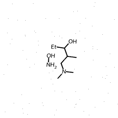 CCC(O)C(C)CN(C)C.NO